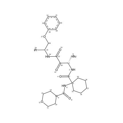 CCCC[C@H](NC(=O)C1(NC(=O)N2CCOCC2)CCCCC1)C(=O)C(=O)NC(COc1ccccc1)C(C)C